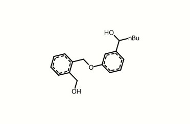 CCCCC(O)c1cccc(OCc2ccccc2CO)c1